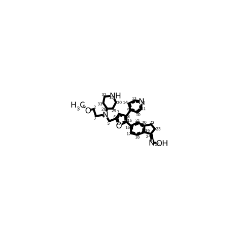 COCCN(Cc1cc(-c2ccncc2)c(-c2ccc3c(c2)CC/C3=N\O)o1)C1CCNCC1